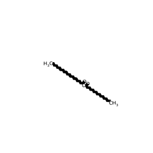 CCCCCC=CCC=CCC=CCC=CCCCC(=O)OC(=O)CCCCCCCCCCCCCCC